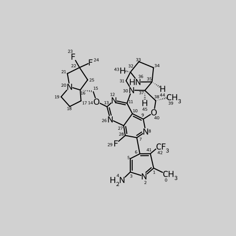 Cc1nc(N)cc(-c2nc3c4c(nc(OC[C@]56CCCN5CC(F)(F)C6)nc4c2F)N2C[C@H]4CC[C@H](N4)[C@H]2[C@H](C)O3)c1C(F)(F)F